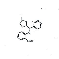 COc1ccccc1O[C@@H](c1cccnc1)[C@H]1CCNC1